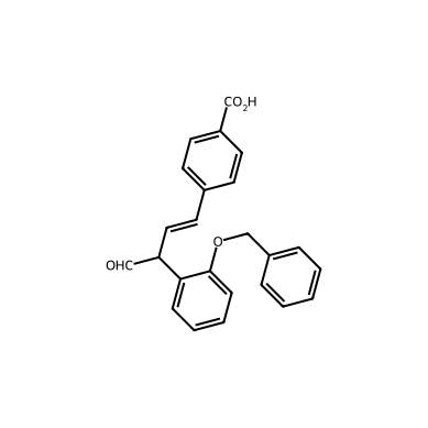 O=CC(C=Cc1ccc(C(=O)O)cc1)c1ccccc1OCc1ccccc1